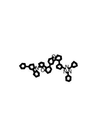 c1ccc(-c2ccc3c(c2)c2ccccc2n3-c2cccc3c2oc2cccc(-c4ccc5oc6cccc(-c7cccc(-c8nc(-c9ccccc9)nc(-c9ccccc9)n8)c7)c6c5c4)c23)cc1